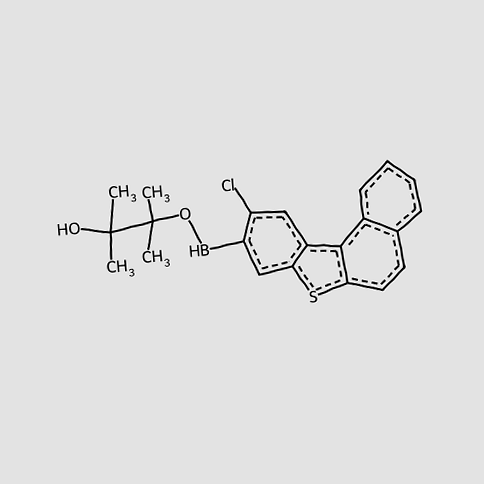 CC(C)(O)C(C)(C)OBc1cc2sc3ccc4ccccc4c3c2cc1Cl